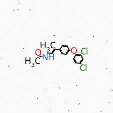 CC(=O)NCC=C(C)c1ccc(Oc2ccc(Cl)cc2Cl)cc1